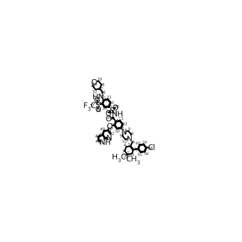 CC1(C)CCC(CN2CCN(c3ccc(C(=O)NS(=O)(=O)c4ccc(NCC5CCOCC5)c(S(=O)(=O)C(F)(F)F)c4)c(Oc4cnc5[nH]ccc5c4)c3)CC2)=C(c2ccc(Cl)cc2)C1